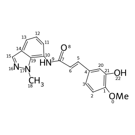 COc1ccc(C=CC(=O)Nc2cccc3cnn(C)c23)cc1O